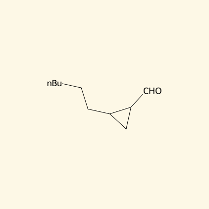 CCCCCCC1CC1C=O